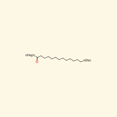 CCCCCCCCCCCCCCCCCCCCCCC(=O)CCCCCCC